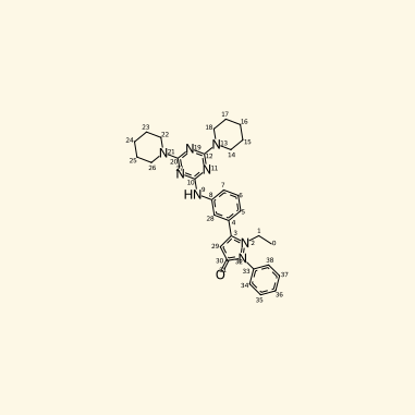 CCn1c(-c2cccc(Nc3nc(N4CCCCC4)nc(N4CCCCC4)n3)c2)cc(=O)n1-c1ccccc1